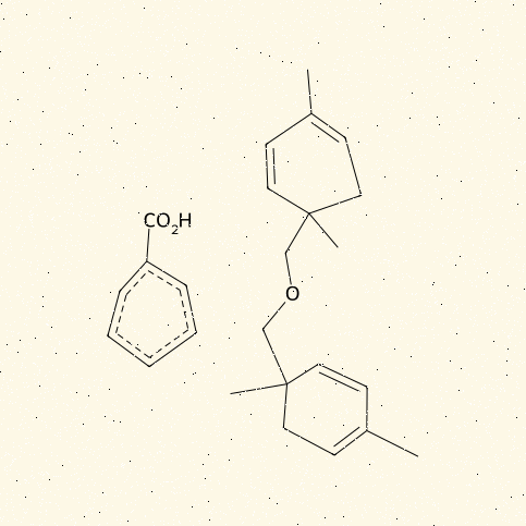 CC1=CCC(C)(COCC2(C)C=CC(C)=CC2)C=C1.O=C(O)c1ccccc1